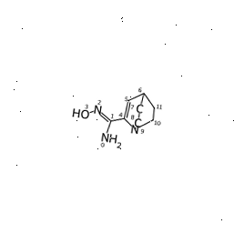 NC(=NO)C1=CC2CCN1CC2